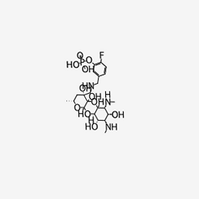 CN[C@@H]1[C@H](O)[C@H](NC)[C@H]2O[C@]3(O)[C@H](O[C@@H]2[C@H]1O)O[C@H](C)C[C@@]3(O)CNCc1ccc(F)c(OP(=O)(O)O)c1